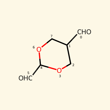 O=CC1COC(C=O)OC1